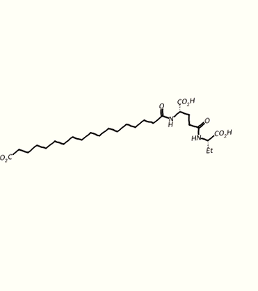 CC[C@H](NC(=O)CC[C@H](NC(=O)CCCCCCCCCCCCCCCCC(=O)O)C(=O)O)C(=O)O